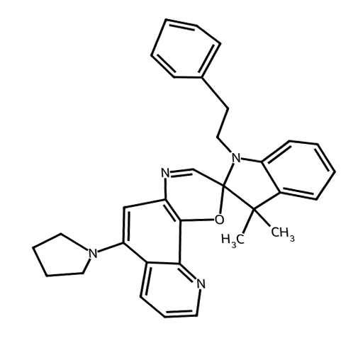 CC1(C)c2ccccc2N(CCc2ccccc2)C12C=Nc1cc(N3CCCC3)c3cccnc3c1O2